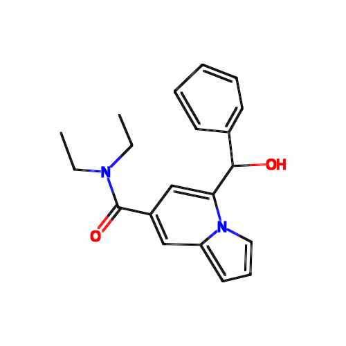 CCN(CC)C(=O)c1cc(C(O)c2ccccc2)n2cccc2c1